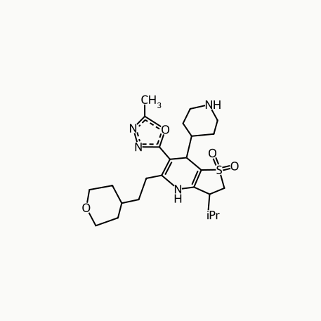 Cc1nnc(C2=C(CCC3CCOCC3)NC3=C(C2C2CCNCC2)S(=O)(=O)CC3C(C)C)o1